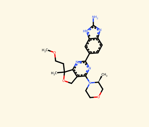 COCCC1(C)OCc2c(N3CCOC[C@@H]3C)nc(-c3ccc4nc(N)[nH]c4c3)nc21